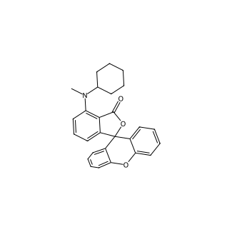 CN(c1cccc2c1C(=O)OC21c2ccccc2Oc2ccccc21)C1CCCCC1